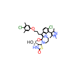 Cc1cc(OCCCc2c3n(c4c(-c5c(C)nn(C)c5C)c(Cl)ccc24)CCCN(C2SC(=O)NC2C(=O)O)C3=O)cc(C)c1Cl